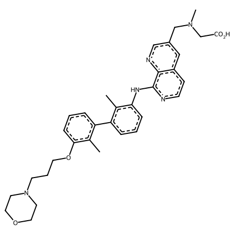 Cc1c(Nc2nccc3cc(CN(C)CC(=O)O)cnc23)cccc1-c1cccc(OCCCN2CCOCC2)c1C